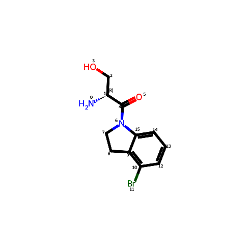 N[C@H](CO)C(=O)N1CCc2c(Br)cccc21